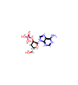 Nc1ncnc2c1ncn2[C@@H]1O[C@H](CO)CC1OP(=O)(O)O